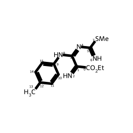 CCOC(=O)C(=N)/C(=N\C(=N)SC)Nc1ccc(C)cc1